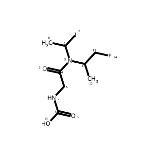 CC(I)N(C(=O)CNC(=O)O)C(C)CF